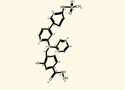 CS(=O)(=O)Nc1ccc(-c2ccnc(N(Cc3ccc(C(=O)NO)cc3F)c3cnccn3)c2)cn1